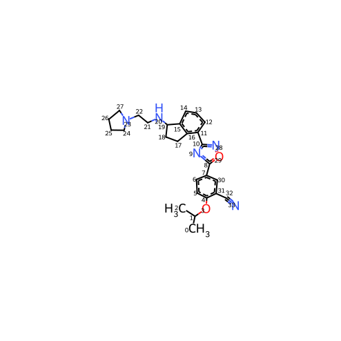 CC(C)Oc1ccc(-c2nc(-c3cccc4c3CCC4NCCN3CCCC3)no2)cc1C#N